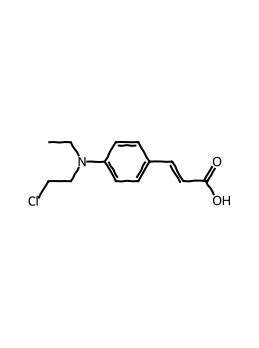 CCN(CCCl)c1ccc(C=CC(=O)O)cc1